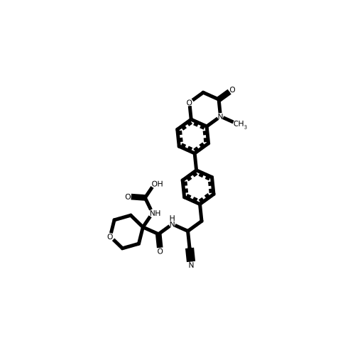 CN1C(=O)COc2ccc(-c3ccc(CC(C#N)NC(=O)C4(NC(=O)O)CCOCC4)cc3)cc21